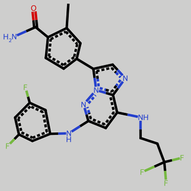 Cc1cc(-c2cnc3c(NCCC(F)(F)F)cc(Nc4cc(F)cc(F)c4)nn23)ccc1C(N)=O